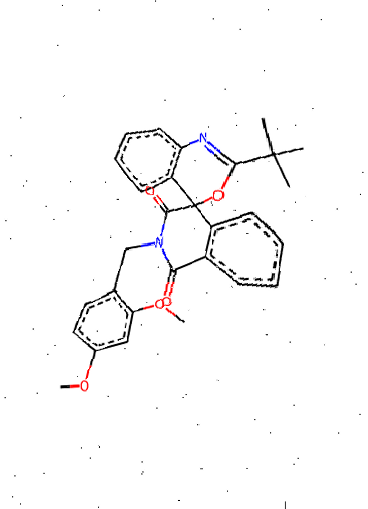 COc1ccc(CN2C(=O)c3ccccc3C3(OC(C(C)(C)C)=Nc4ccccc43)C2=O)c(OC)c1